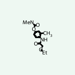 CCOCC(=O)Nc1ccc(OC(=O)NC)cc1C